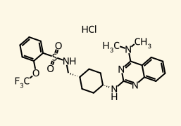 CN(C)c1nc(N[C@H]2CC[C@@H](CNS(=O)(=O)c3ccccc3OC(F)(F)F)CC2)nc2ccccc12.Cl